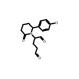 O=CCCC(C=O)N1C(=O)CCCC1c1ccc(Cl)cc1